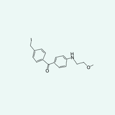 COCCNc1ccc(C(=O)c2ccc(CI)cc2)cc1